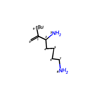 C=C(C(N)CCCCN)C(C)(C)C